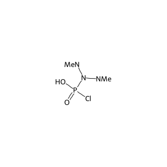 CNN(NC)P(=O)(O)Cl